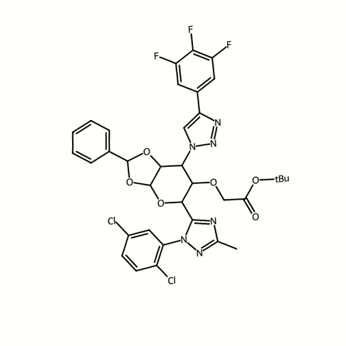 Cc1nc(C2OC3OC(c4ccccc4)OC3C(n3cc(-c4cc(F)c(F)c(F)c4)nn3)C2OCC(=O)OC(C)(C)C)n(-c2cc(Cl)ccc2Cl)n1